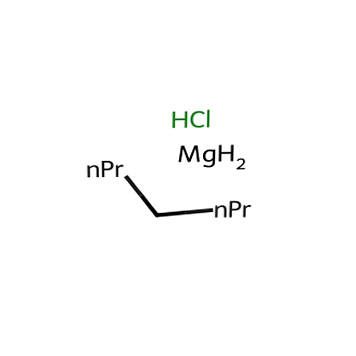 CCCCCCC.Cl.[MgH2]